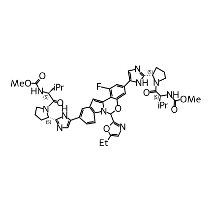 CCc1cnc(C2Oc3cc(-c4cnc([C@@H]5CCCN5C(=O)[C@@H](NC(=O)OC)C(C)C)[nH]4)cc(F)c3-c3cc4cc(-c5cnc([C@@H]6CCCN6C(=O)[C@@H](NC(=O)OC)C(C)C)[nH]5)ccc4n32)o1